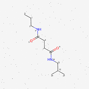 CCCNC(=O)CCC(=O)NCC(C)C